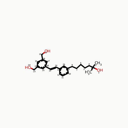 CC(C)(O)CCCCCc1cccc(/C=C/c2cc(CO)cc(CO)c2)c1